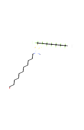 CN(CCCCCCCCCCCO)S(=O)(=O)C(F)(F)C(F)(F)C(F)(F)C(F)(F)C(F)(F)C(F)(F)C(F)(F)C(F)(F)F